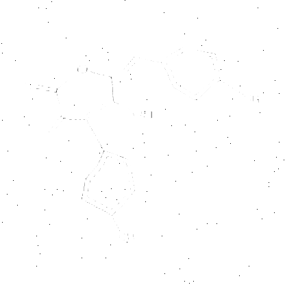 O=C1O/C(=C/c2ccc(O)cc2)C(O)=C(c2ccc(O)cc2)C1=O